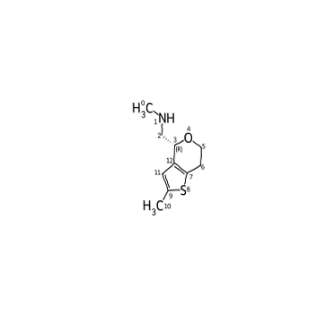 CNC[C@@H]1OCCc2sc(C)cc21